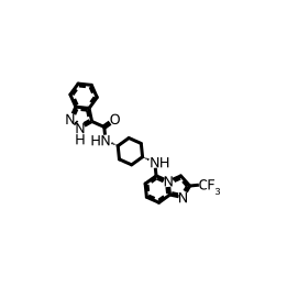 O=C(N[C@H]1CC[C@@H](Nc2cccc3nc(C(F)(F)F)cn23)CC1)c1[nH]nc2ccccc12